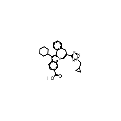 O=C(O)c1ccc2c(C3CCCCC3)c3n(c2c1)C=C(c1nnn(CC2CC2)n1)Cc1ccccc1-3